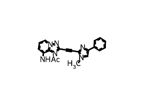 CC(=O)Nc1cccn2nc(C#Cc3nc(-c4ccccc4)cn3C)nc12